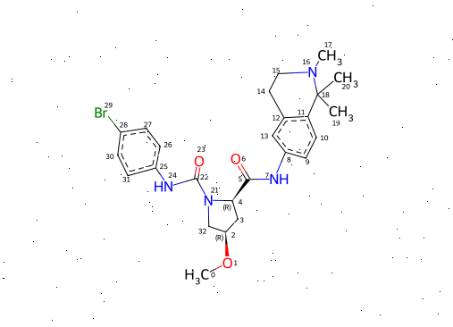 CO[C@@H]1C[C@H](C(=O)Nc2ccc3c(c2)CCN(C)C3(C)C)N(C(=O)Nc2ccc(Br)cc2)C1